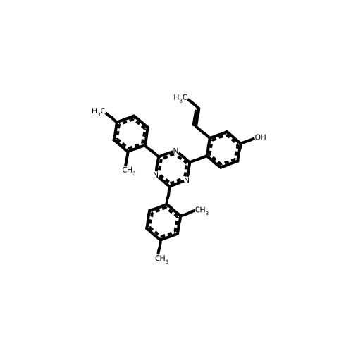 CC=Cc1cc(O)ccc1-c1nc(-c2ccc(C)cc2C)nc(-c2ccc(C)cc2C)n1